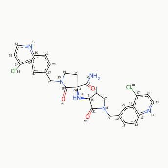 NC(=O)[C@@]1(N[C@H]2CCN(Cc3ccc4nccc(Cl)c4c3)C2=O)CCN(Cc2ccc3nccc(Cl)c3c2)C1=O